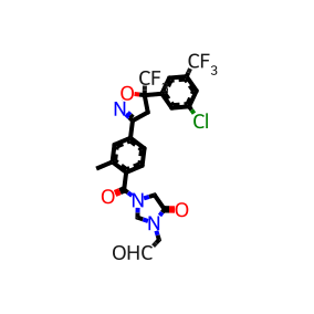 Cc1cc(C2=NOC(c3cc(Cl)cc(C(F)(F)F)c3)(C(F)(F)F)C2)ccc1C(=O)N1CC(=O)N(CC=O)C1